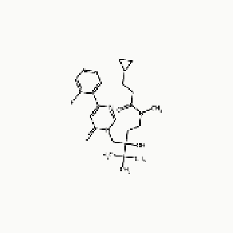 CN(CCC(O)(Cn1cnc(-c2ccccc2F)cc1=O)C(C)(C)C)C(=O)CCC1CC1